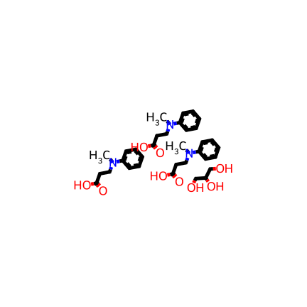 CN(CCC(=O)O)c1ccccc1.CN(CCC(=O)O)c1ccccc1.CN(CCC(=O)O)c1ccccc1.OCC(O)CO